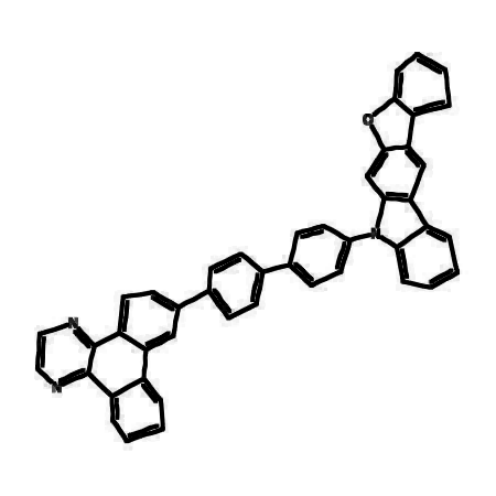 c1ccc2c(c1)oc1cc3c(cc12)c1ccccc1n3-c1ccc(-c2ccc(-c3ccc4c(c3)c3ccccc3c3nccnc43)cc2)cc1